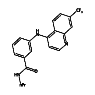 CCCNC(=O)c1cccc(Nc2ccnc3cc(C(F)(F)F)ccc23)c1